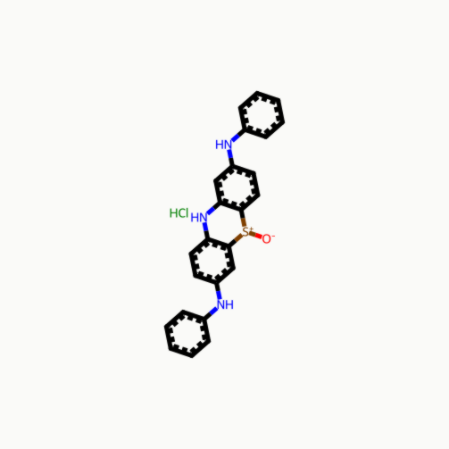 Cl.[O-][S+]1c2ccc(Nc3ccccc3)cc2Nc2ccc(Nc3ccccc3)cc21